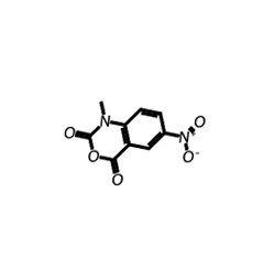 Cn1c(=O)oc(=O)c2cc([N+](=O)[O-])ccc21